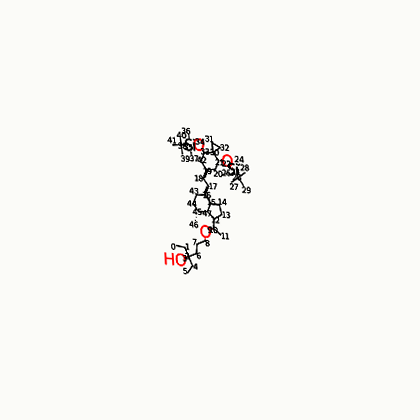 CCC(O)(CC)CCCO[C@H](C)C1CCC2/C(=C/C=C3C[C@@H](O[Si](C)(C)C(C)(C)C)C4(CC4)[C@H](O[Si](C)(C)C(C)(C)C)C3)CC[C@@H](C)C21